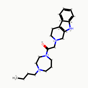 CCCCN1CCCN(C(=O)CN2CCc3c([nH]c4ccccc34)C2)CC1